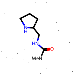 CNC(=O)NCC1CCCN1